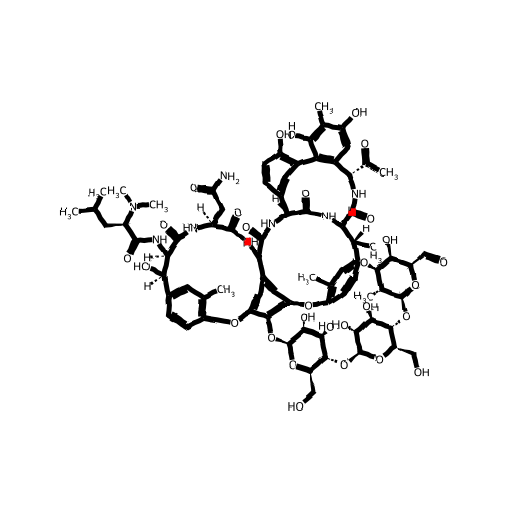 CC(=O)[C@@H]1NC(=O)[C@H]2NC(=O)[C@H](NC(=O)[C@@H]3NC(=O)[C@H](CC(N)=O)NC(=O)[C@H](NC(=O)[C@@H](CC(C)C)N(C)C)[C@H](O)c4ccc(c(C)c4)Oc4cc3cc(c4O[C@@H]3O[C@H](CO)[C@@H](O[C@@H]4O[C@H](CO)[C@@H](O[C@@H]5O[C@H](C=O)[C@H](O)[C@H](O)[C@H]5C)[C@H](O)[C@H]4O)[C@H](O)[C@H]3O)Oc3ccc(cc3C)[C@H]2C)c2ccc(O)c(c2)-c2c1cc(O)c(C)c2O